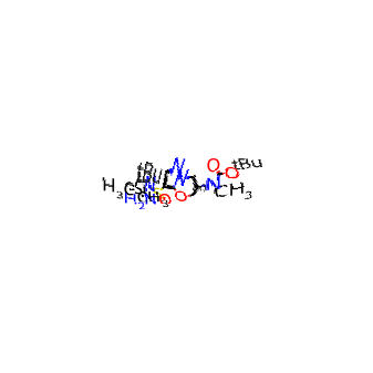 CN(C(=O)OC(C)(C)C)[C@H]1COc2c(S(N)(=O)=N[Si](C)(C)C(C)(C)C)cnn2C1